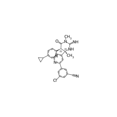 CN1C(=N)N[C@](C)(c2ccnc(-c3cc(Cl)cc(C#N)c3)c2)[C@@H](c2ccc(C3CC3)cn2)C1=O